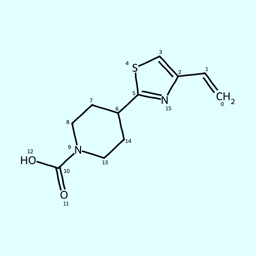 C=Cc1csc(C2CCN(C(=O)O)CC2)n1